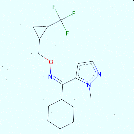 Cn1nccc1/C(=N\OCC1CC1C(F)(F)F)C1CCCCC1